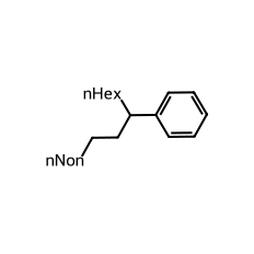 CCCCCCCCCCCC(CCCCCC)c1ccccc1